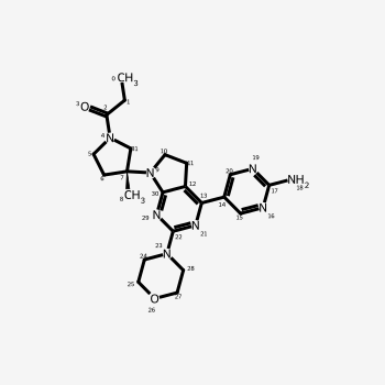 CCC(=O)N1CC[C@@](C)(N2CCc3c(-c4cnc(N)nc4)nc(N4CCOCC4)nc32)C1